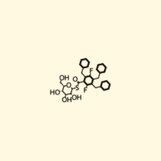 O=C(S[C@@H]1O[C@H](CO)[C@@H](O)[C@H](O)[C@@H]1O)c1c(F)c(Cc2ccccc2)c(Cc2ccccc2)c(F)c1Cc1ccccc1